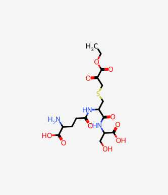 CCOC(=O)C(=O)CSCC(NC(=O)CCC(N)C(=O)O)C(=O)NC(CO)C(=O)O